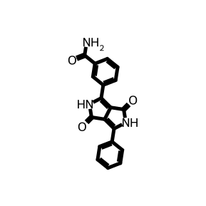 NC(=O)c1cccc(C2=C3C(=O)NC(c4ccccc4)=C3C(=O)N2)c1